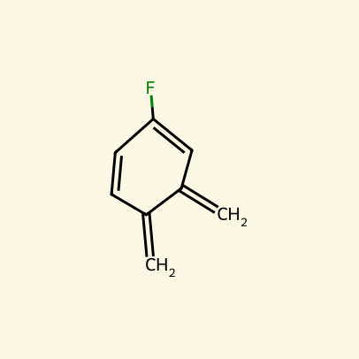 C=c1ccc(F)cc1=C